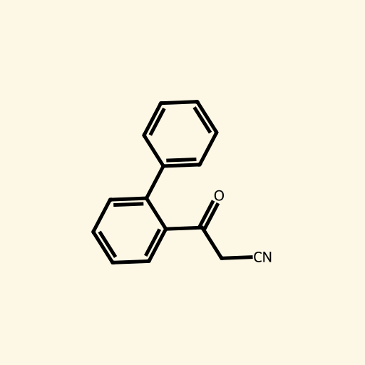 N#CCC(=O)c1ccccc1-c1ccccc1